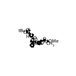 CO[C@H](C)COC(=O)c1cc2cc(NC(=O)[C@H]3[C@H](C4(OC)CCCCC4)CCN3C(=O)[C@H]3CC[C@H]([C@@H](CF)NC(=O)OC(C)(C)C)CC3)ccc2o1